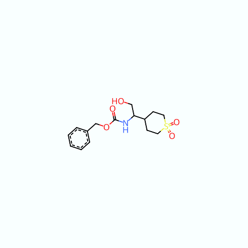 O=C(NC(CO)C1CCS(=O)(=O)CC1)OCc1ccccc1